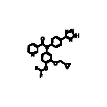 O=C(c1cccnc1)N(c1ccc(-c2nn[nH]n2)cc1)c1ccc(OC(F)F)c(OCC2CC2)c1